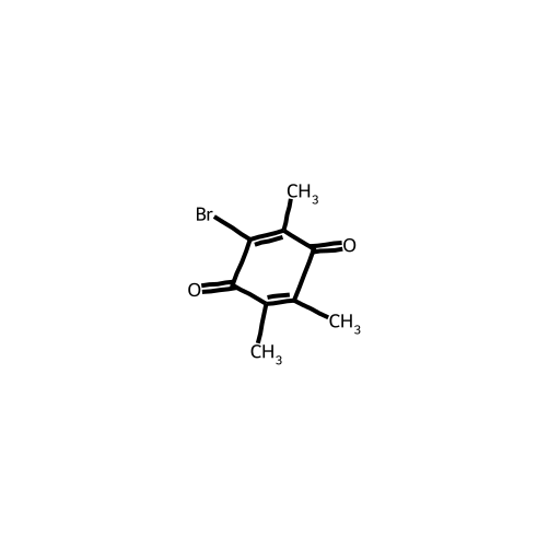 CC1=C(C)C(=O)C(Br)=C(C)C1=O